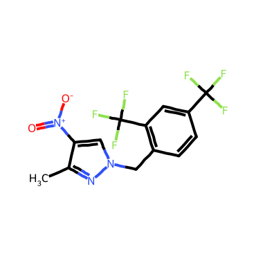 Cc1nn(Cc2ccc(C(F)(F)F)cc2C(F)(F)F)cc1[N+](=O)[O-]